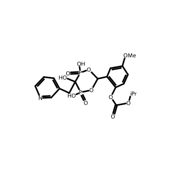 COc1ccc(OC(=O)OC(C)C)c(C2OP(=O)(O)C(O)(Cc3cccnc3)P(=O)(O)O2)c1